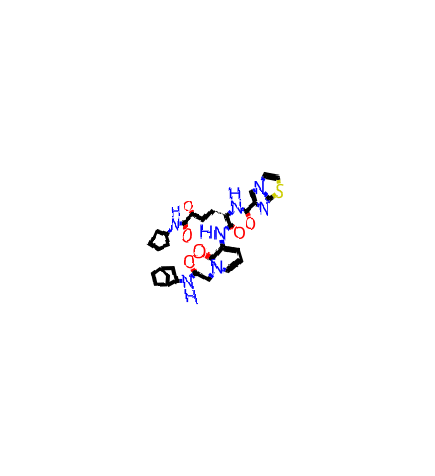 O=C(Cn1cccc(NC(=O)[C@H](CCC(=O)C(=O)NC2CCCC2)NC(=O)c2cn3ccsc3n2)c1=O)NC1CC2CCC1C2